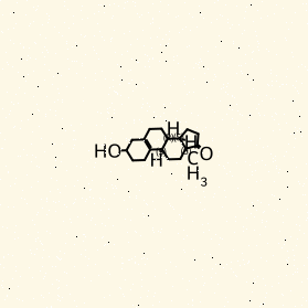 C[C@]12CC[C@@H]3C4=C(CC[C@H]3[C@@H]1CCC2=O)CC(O)CC4